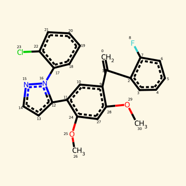 C=C(c1ccccc1F)c1cc(-c2ccnn2-c2ccccc2Cl)c(OC)cc1OC